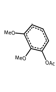 COc1[c]ccc(OC(C)=O)c1OC